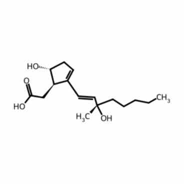 CCCCC[C@](C)(O)C=CC1=CC[C@@H](O)[C@@H]1CC(=O)O